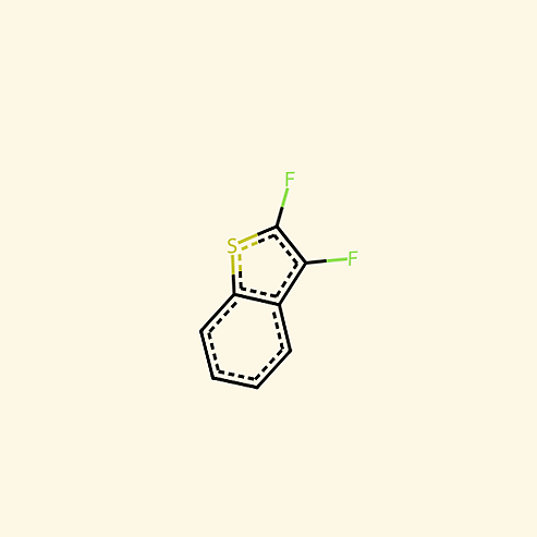 Fc1sc2ccccc2c1F